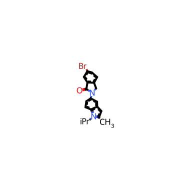 Cc1cc2cc(N3Cc4ccc(Br)cc4C3=O)ccc2n1C(C)C